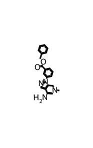 CN1C=C(N)c2cnn(-c3cccc(C(=O)OCc4ccccc4)c3)c2C1